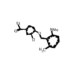 CCC(=O)c1ccc(OCc2c(C)cccc2NC)c(Cl)c1